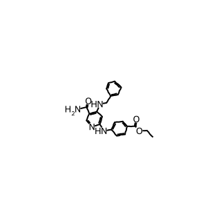 CCOC(=O)c1ccc(Nc2cc(NCc3ccccc3)c(C(N)=O)cn2)cc1